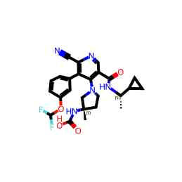 C[C@H](NC(=O)c1cnc(C#N)c(-c2cccc(OC(F)F)c2)c1N1CC[C@](C)(NC(=O)O)C1)C1CC1